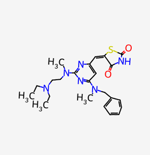 CCN(CC)CCN(C)c1nc(C=C2SC(=O)NC2=O)cc(N(C)Cc2ccccc2)n1